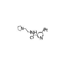 CC(C)c1cncc(C(=O)NCCN2CCCC2)c1